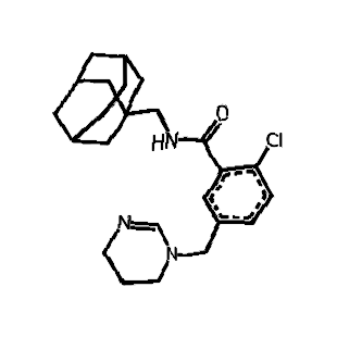 O=C(NCC12CC3CC(CC(C3)C1)C2)c1cc(CN2C=NCCC2)ccc1Cl